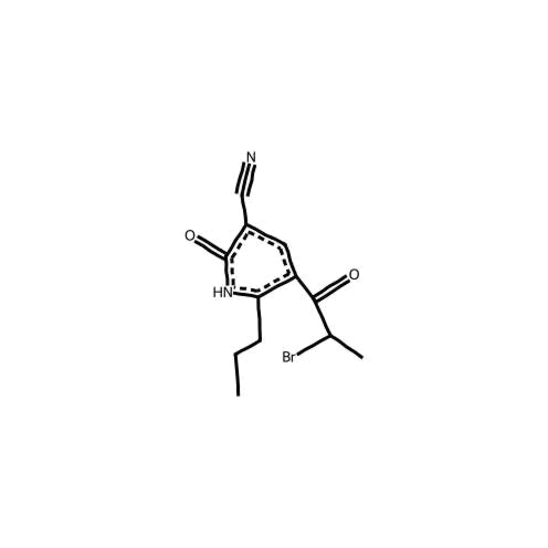 CCCc1[nH]c(=O)c(C#N)cc1C(=O)C(C)Br